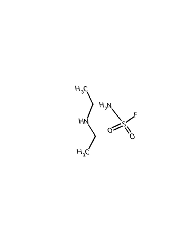 CCNCC.NS(=O)(=O)F